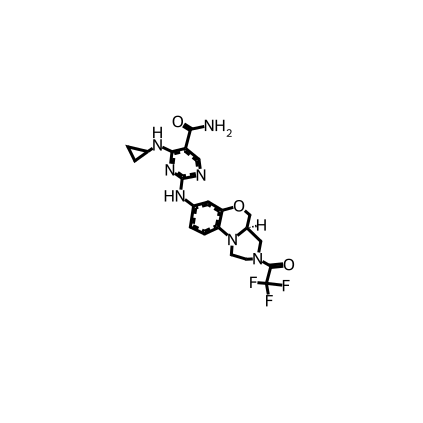 NC(=O)c1cnc(Nc2ccc3c(c2)OC[C@H]2CN(C(=O)C(F)(F)F)CCN32)nc1NC1CC1